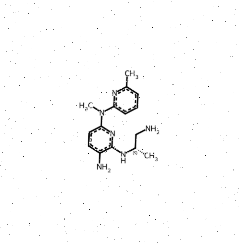 Cc1cccc(N(C)c2ccc(N)c(N[C@@H](C)CN)n2)n1